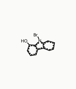 Oc1cccc2c3ccccc3n(Br)c12